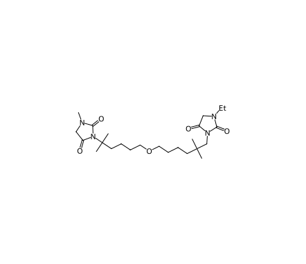 CCN1CC(=O)N(CC(C)(C)CCCCOCCCCC(C)(C)N2C(=O)CN(C)C2=O)C1=O